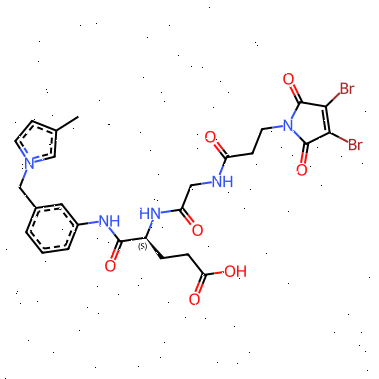 Cc1ccn(Cc2cccc(NC(=O)[C@H](CCC(=O)O)NC(=O)CNC(=O)CCN3C(=O)C(Br)=C(Br)C3=O)c2)c1